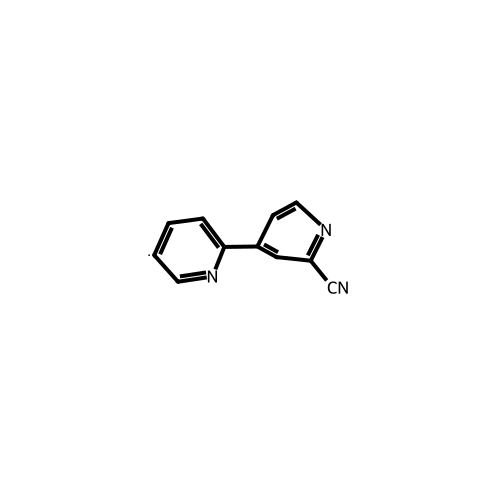 N#Cc1cc(-c2cc[c]cn2)ccn1